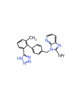 CCCc1nc2cccnc2n1Cc1ccc(-c2c(C)cccc2-c2nnn[nH]2)cc1